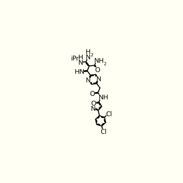 CC(C)N/C(N)=C(\C(=N)c1cnc(CC(=O)Nc2cc(-c3ccc(Cl)cc3Cl)no2)cn1)C(N)=O